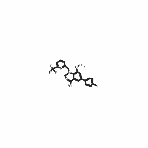 [2H]C1=NCN(Cc2cccc(C(F)(F)F)n2)c2c(OC)cc(-c3ccc(F)cc3)cc21